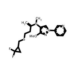 C=C(CCSCC1CC1(F)F)N(C)c1cn(-c2cccnc2)nc1OC